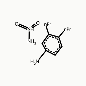 CCCc1ccc(N)cc1CCC.N[SH](=O)=O